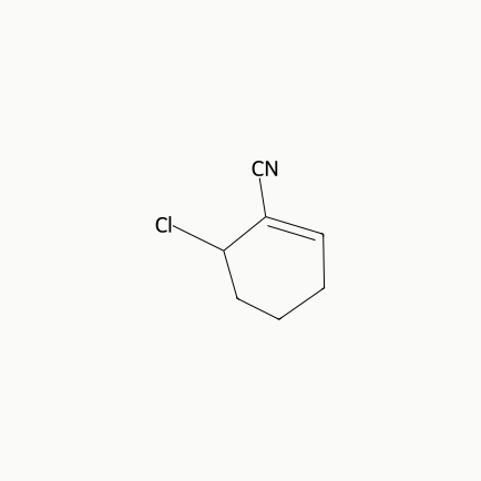 N#CC1=CCCCC1Cl